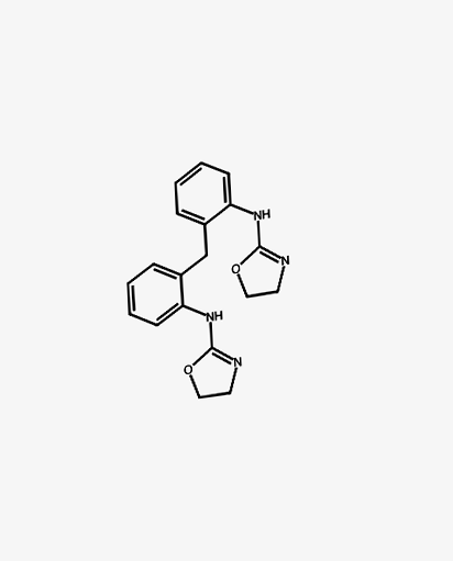 c1ccc(NC2=NCCO2)c(Cc2ccccc2NC2=NCCO2)c1